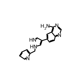 N=C/C(=C\NCc1ccccn1)c1ccc2ncnc(N)c2c1